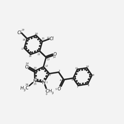 Cn1c(CC(=O)c2ccccc2)c(C(=O)c2ccc(Cl)cc2Cl)c(=O)n1C